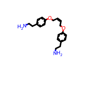 NCCc1ccc(OC/C=C\COc2ccc(CCN)cc2)cc1